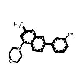 Cc1cc(N2CCOCC2)c2ccc(-c3cccc(C(F)(F)F)c3)cc2n1